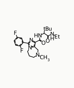 CCNC(=O)C(NC(=O)c1nc(-c2cc(F)ccc2F)n2c1CN(C)CCC2)C(C)(C)C